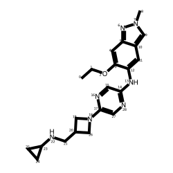 CCOc1cc2nn(C)cc2cc1Nc1cnc(N2CC(CNC3CC3)C2)cn1